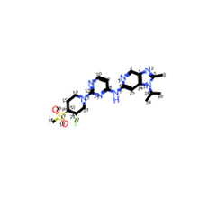 Cc1nc2cnc(Nc3ccnc(N4CC[C@H](S(C)(=O)=O)[C@@H](F)C4)n3)cc2n1C(C)C